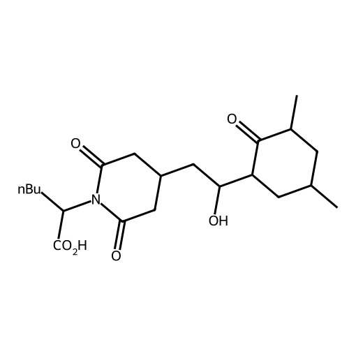 CCCCC(C(=O)O)N1C(=O)CC(CC(O)C2CC(C)CC(C)C2=O)CC1=O